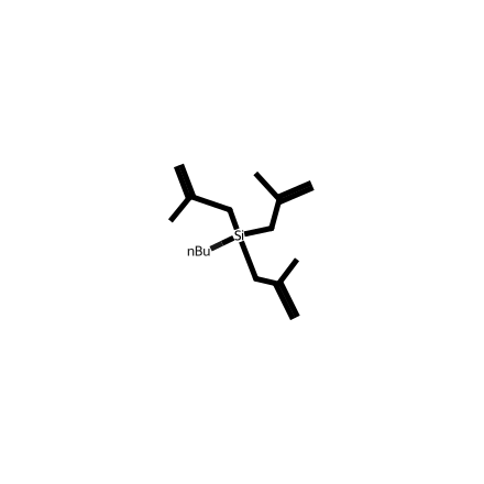 C=C(C)C[Si](CCCC)(CC(=C)C)CC(=C)C